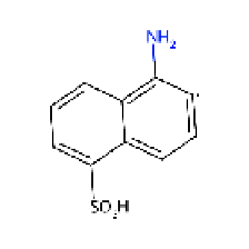 Nc1[c]ccc2c(S(=O)(=O)O)cccc12